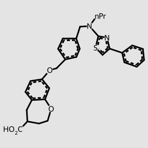 CCCN(Cc1ccc(COc2ccc3c(c2)OCCC(C(=O)O)C3)cc1)c1nc(-c2ccccc2)cs1